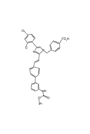 CC(C)OC(=O)Nc1cccc(-c2ccc(C=Cc3nc(-c4ccc(Cl)cc4Cl)cn3Cc3ccc(C(=O)O)cc3)cc2)c1